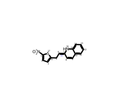 O=[N+]([O-])c1ccc(C/C=C2\C=Cc3ccccc3N2)s1